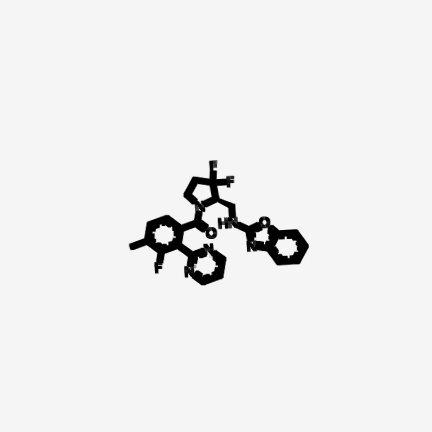 Cc1ccc(C(=O)N2CCC(F)(F)[C@H]2CNc2nc3ccccc3o2)c(-c2ncccn2)c1F